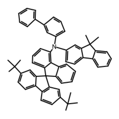 CC(C)(C)c1ccc2c(c1)C1(c3cc(C(C)(C)C)ccc3-2)c2ccccc2-c2c(N(c3cccc(-c4ccccc4)c3)c3ccc4c(c3)C(C)(C)c3ccccc3-4)cccc21